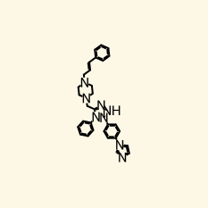 C(=Cc1ccccc1)CN1CCN(CC2=NNN(c3ccc(-n4ccnc4)cc3)N2c2ccccc2)CC1